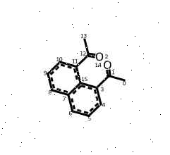 CC(=O)c1cccc2cccc(C(C)=O)c12